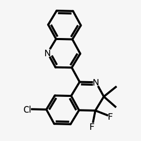 CC1(C)N=C(c2cnc3ccccc3c2)c2cc(Cl)ccc2C1(F)F